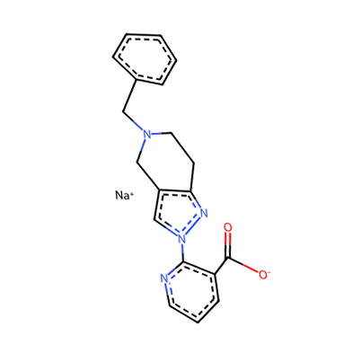 O=C([O-])c1cccnc1-n1cc2c(n1)CCN(Cc1ccccc1)C2.[Na+]